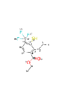 CCCc1c(C(=O)OCC)ccc(C(F)(F)F)c1S